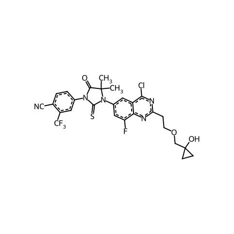 CC1(C)C(=O)N(c2ccc(C#N)c(C(F)(F)F)c2)C(=S)N1c1cc(F)c2nc(CCOCC3(O)CC3)nc(Cl)c2c1